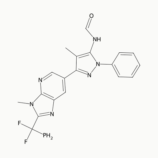 Cc1c(-c2cnc3c(c2)nc(C(F)(F)P)n3C)nn(-c2ccccc2)c1NC=O